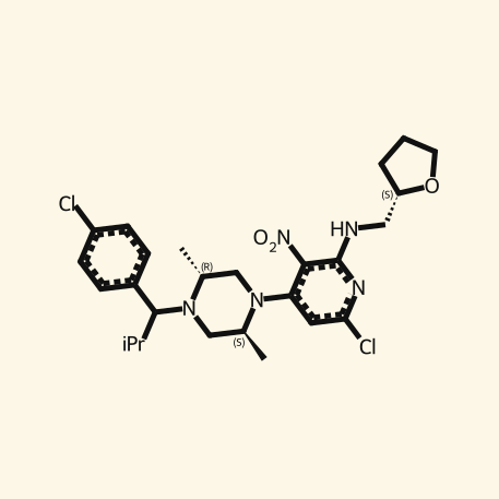 CC(C)C(c1ccc(Cl)cc1)N1C[C@H](C)N(c2cc(Cl)nc(NC[C@@H]3CCCO3)c2[N+](=O)[O-])C[C@H]1C